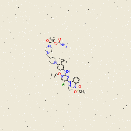 COc1cc(N2CCC(CN3CCN(C(=O)C(C)OC(N)=O)CC3)CC2)c(C)cc1Nc1ncc(Cl)c(Nc2ccccc2N(C)S(C)(=O)=O)n1